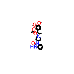 COc1ccc(C(OC(C)=O)C(C)N2CCC(n3c(=O)[nH]c4ccccc43)CC2)cc1OC